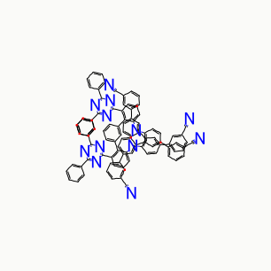 N#Cc1cccc(-c2ccc3c(c2)c2cc(-c4cccc(C#N)c4)ccc2n3-c2cccc(-c3nc(-c4ccccc4)nc(-c4ccccc4)n3)c2-c2cccc(-c3c(-c4nc(-c5ccccc5)nc(-c5ccccc5)n4)cccc3-n3c4ccc(-c5cccc(C#N)c5)cc4c4cc(-c5cccc(C#N)c5)ccc43)c2)c1